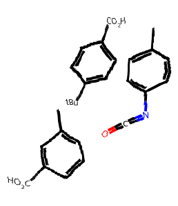 CC(C)(C)c1ccc(C(=O)O)cc1.Cc1ccc(N=C=O)cc1.Cc1cccc(C(=O)O)c1